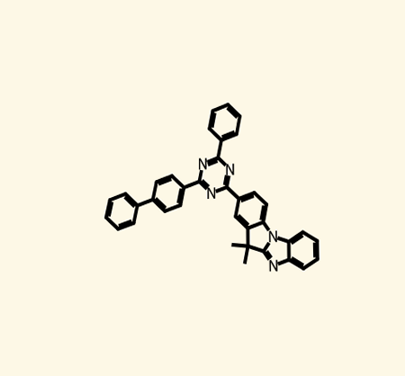 CC1(C)c2cc(-c3nc(-c4ccccc4)nc(-c4ccc(-c5ccccc5)cc4)n3)ccc2-n2c1nc1ccccc12